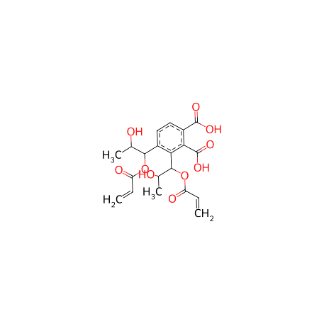 C=CC(=O)OC(c1ccc(C(=O)O)c(C(=O)O)c1C(OC(=O)C=C)C(C)O)C(C)O